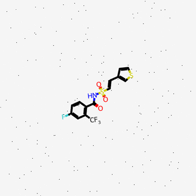 O=C(NS(=O)(=O)/C=C/c1ccsc1)c1ccc(F)cc1C(F)(F)F